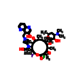 CO[C@@]1(C)[C@@H](N(CO)C2CN(Cc3c(O)cnc4cccnc34)C2)[C@@H](C)C(=O)[C@H](C)C[C@@](C)(OC)[C@H](O[C@@H]2O[C@H](C)C[C@H](N(C)C)[C@H]2O)[C@@H](C)C(=O)[C@](C)(F)C(=O)O[C@@H]1I